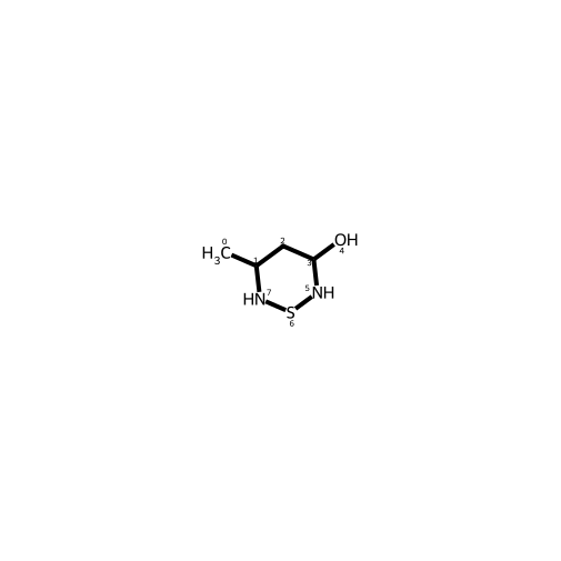 CC1CC(O)NSN1